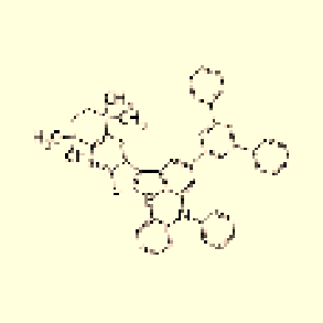 CC1(C)CCC(C)(C)c2cc3c4c(sc3cc21)B1c2ccccc2N(c2ccccc2)c2cc(-c3cc(-c5ccccc5)cc(-c5ccccc5)c3)cc-4c21